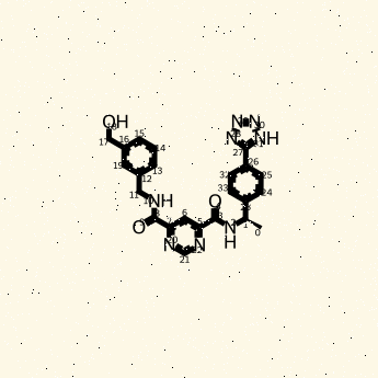 C[C@@H](NC(=O)c1cc(C(=O)NCc2cccc(CO)c2)ncn1)c1ccc(-c2nnn[nH]2)cc1